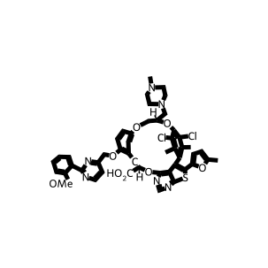 COc1ccccc1-c1nccc(COc2ccc3cc2C[C@H](C(=O)O)Oc2ncnc4sc(-c5ccc(C)o5)c(c24)-c2c(C)c(Cl)c(c(Cl)c2C)O[C@H](CN2CCN(C)CC2)CO3)n1